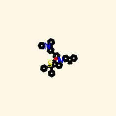 CC1(C)c2ccccc2-c2ccc(N(c3ccc(-c4ccc5c(c4)c4ccccc4n5-c4ccccc4)cc3)c3cccc4c3C(C)(C)c3sc(-c5ccccc5)c(-c5ccccc5)c3-4)cc21